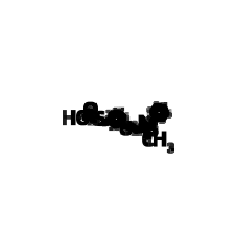 Cc1sc(-c2ccccc2)nc1CCOc1cccc(CSCC(=O)O)c1